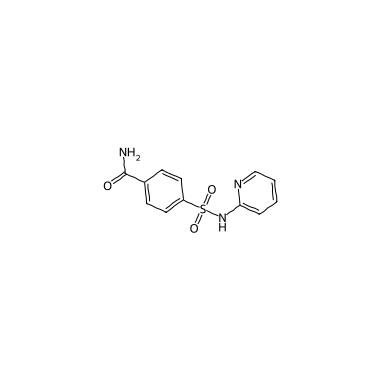 NC(=O)c1ccc(S(=O)(=O)Nc2ccccn2)cc1